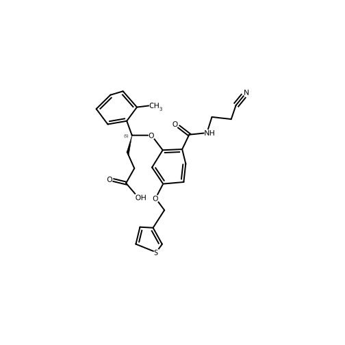 Cc1ccccc1[C@H](CCC(=O)O)Oc1cc(OCc2ccsc2)ccc1C(=O)NCCC#N